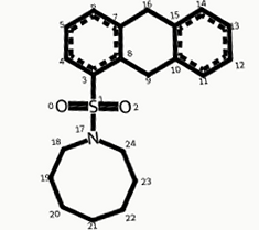 O=S(=O)(c1cccc2c1Cc1ccccc1C2)N1CCCCCCC1